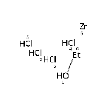 CCO.Cl.Cl.Cl.Cl.[Zr]